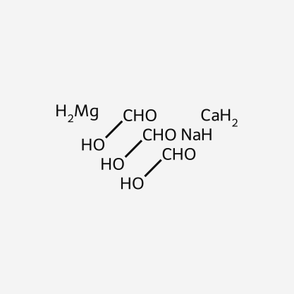 O=CO.O=CO.O=CO.[CaH2].[MgH2].[NaH]